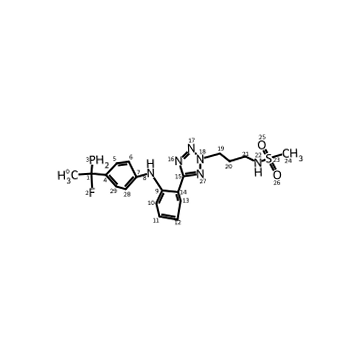 CC(F)(P)c1ccc(Nc2ccccc2-c2nnn(CCCNS(C)(=O)=O)n2)cc1